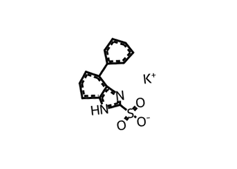 O=S(=O)([O-])c1nc2c(-c3ccccc3)cccc2[nH]1.[K+]